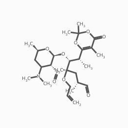 C=CCO[C@](C)(C[C@@H](C)C=O)[C@H](O[C@@H]1O[C@H](C)CC(N(C)C)[C@H]1P=O)[C@@H](C)C1=C(C)C(=O)OC(C)(C)O1